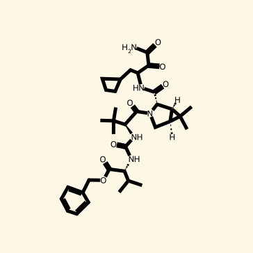 CC(C)[C@@H](NC(=O)N[C@H](C(=O)N1C[C@H]2[C@@H]([C@H]1C(=O)NC(CC1CCC1)C(=O)C(N)=O)C2(C)C)C(C)(C)C)C(=O)OCc1ccccc1